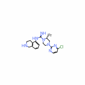 CC(C)C1CN(c2nccc(Cl)n2)CCN1C(=N)Nc1cccc2c1CCNC2